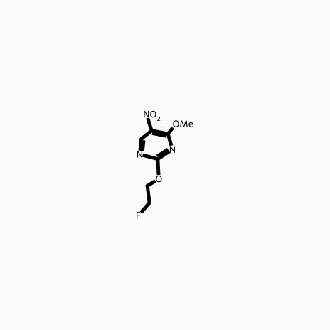 COc1nc(OCCF)ncc1[N+](=O)[O-]